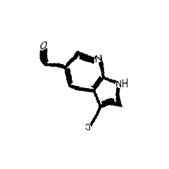 O=Cc1cnc2[nH]cc(Cl)c2c1